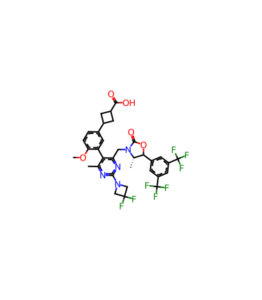 COc1ccc(C2CC(C(=O)O)C2)cc1-c1c(C)nc(N2CC(F)(F)C2)nc1CN1C(=O)OC(c2cc(C(F)(F)F)cc(C(F)(F)F)c2)[C@@H]1C